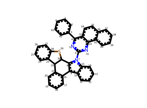 c1ccc(-c2nc(-n3c4c(c5ccccc53)-c3ccccc3C3c5ccccc5SC43)nc3c2ccc2ccccc23)cc1